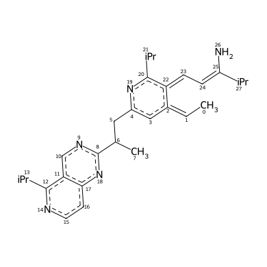 C/C=c1/cc(CC(C)c2ncc3c(C(C)C)nccc3n2)nc(C(C)C)/c1=C/C=C(\N)C(C)C